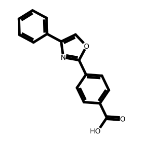 O=C(O)c1ccc(-c2nc(-c3ccccc3)co2)cc1